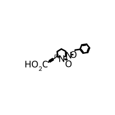 O=C(O)C#C[C@H]1CCC2CN1C(=O)N2OCc1ccccc1